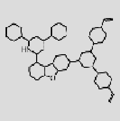 C=CC1CCC(C2CC(C3CCC(C=C)CC3)CC(C3CCC4C(C3)OC3CCCC(C5CC(C6CCCCC6)CC(C6CCCCC6)N5)C34)C2)CC1